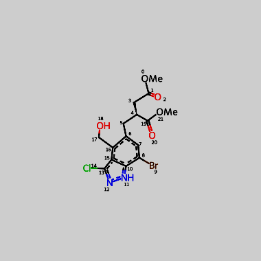 COC(=O)C[C@H](Cc1cc(Br)c2[nH]nc(Cl)c2c1CO)C(=O)OC